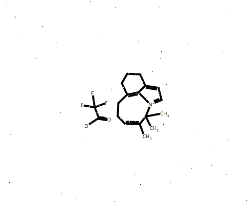 C/C1=C/CCC2=C3C(=CC=[N+]3C1(C)C)CCC2.O=C([O-])C(F)(F)F